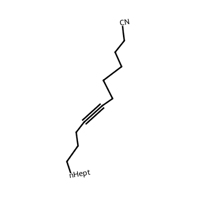 CCCCCCCCCCC#CCCCCCC#N